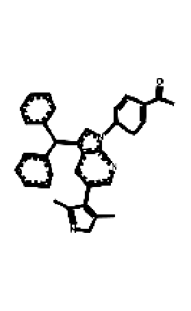 CC(=O)C1=CCC(n2cc(C(c3ccccc3)c3ccccc3)c3cc(C4=C(C)CN=C4C)cnc32)C=C1